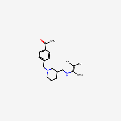 CNC(NCC1CCCN(Cc2ccc(C(=O)OC)cc2)C1)=C(C#N)C#N